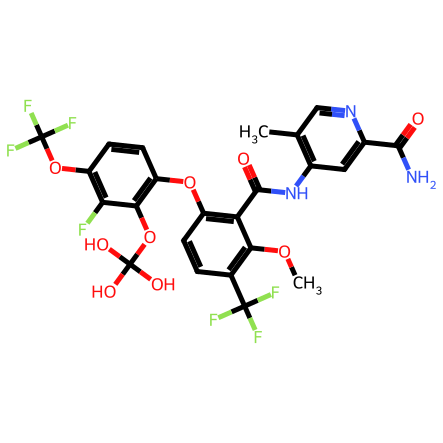 COc1c(C(F)(F)F)ccc(Oc2ccc(OC(F)(F)F)c(F)c2OC(O)(O)O)c1C(=O)Nc1cc(C(N)=O)ncc1C